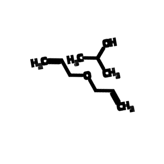 C=CCOCC=C.CC(C)O